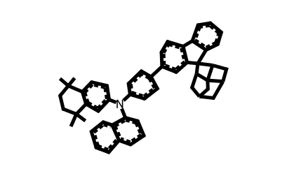 CC1(C)CCC(C)(C)c2cc(N(c3ccc(-c4ccc5c(c4)C4(c6ccccc6-5)C5CC6CC7CC4C75C6)cc3)c3cccc4ccccc34)ccc21